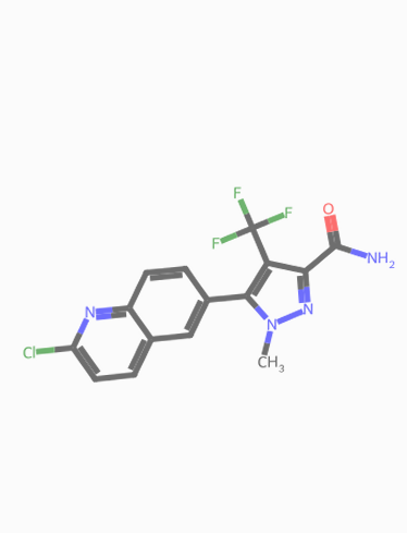 Cn1nc(C(N)=O)c(C(F)(F)F)c1-c1ccc2nc(Cl)ccc2c1